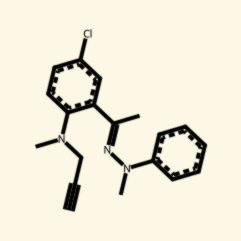 C#CCN(C)c1ccc(Cl)cc1/C(C)=N/N(C)c1ccccc1